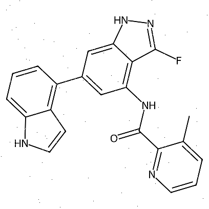 Cc1cccnc1C(=O)Nc1cc(-c2cccc3[nH]ccc23)cc2[nH]nc(F)c12